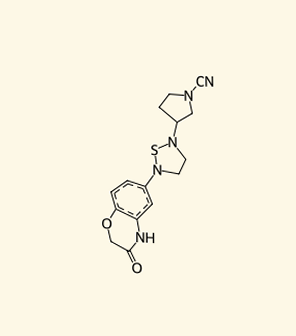 N#CN1CCC(N2CCN(c3ccc4c(c3)NC(=O)CO4)S2)C1